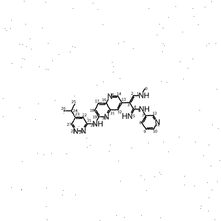 CN/C=C(\C(=N)Nc1cccnc1)c1cnc2ccc(Nc3cc(C(C)C)cnn3)nc2c1